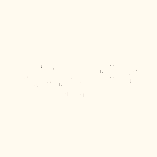 CCNC(=O)[C@@H](OCn1cnc2c(N)nc(CC3CCN(C(=O)OC4CC(=O)N(C)C4)CC3)nc21)C(O)CO